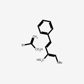 C=C(CC)C(=O)O.CCCCC=C(C=Cc1ccccc1)C(=O)O